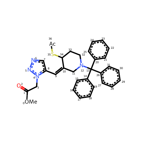 COC(=O)Cn1nncc1C=C1CN(C(c2ccccc2)(c2ccccc2)c2ccccc2)CCC1SC(C)=O